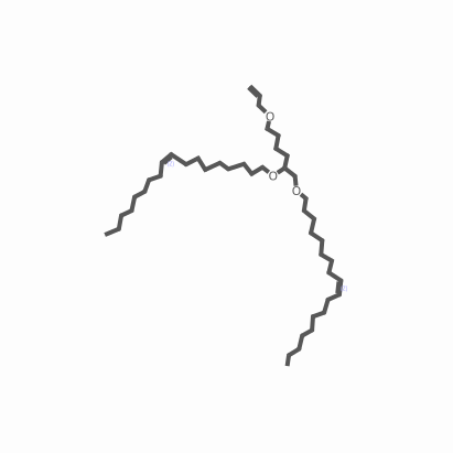 C=CCOCCCCC(COCCCCCCCC/C=C\CCCCCCCC)OCCCCCCCC/C=C\CCCCCCCC